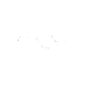 CCCCC/C=C\C/C=C\CCCCCCCCC(CCCCCCCC/C=C\CC/C=C\CCCCCCC)CNC(=O)OCCCNC